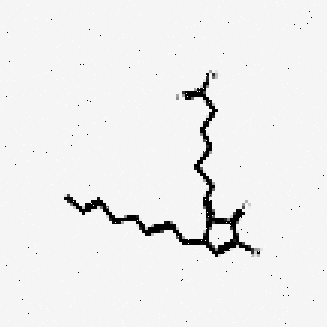 CC=CCCC=CCC1C=C(Br)C(=O)C1=CCCCCCC(=O)O